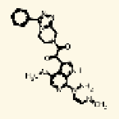 C=N/C=C\N(N)c1ncc(OC)c2c(C(=O)C(=O)N3CCn4c(nnc4-c4ccccc4)C3)c[nH]c12